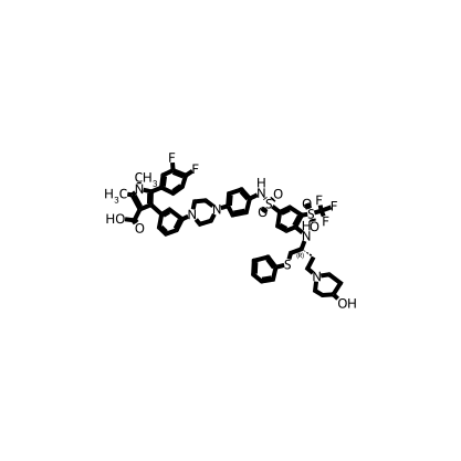 Cc1c(C(=O)O)c(-c2cccc(N3CCN(c4ccc(NS(=O)(=O)c5ccc(N[C@H](CCN6CCC(O)CC6)CSc6ccccc6)c(S(=O)(=O)C(F)(F)F)c5)cc4)CC3)c2)c(-c2ccc(F)c(F)c2)n1C